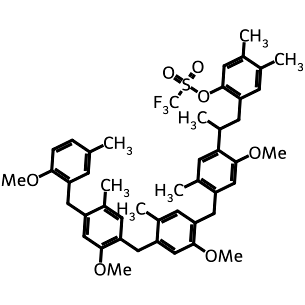 COc1ccc(C)cc1Cc1cc(OC)c(Cc2cc(OC)c(Cc3cc(OC)c(C(C)Cc4cc(C)c(C)cc4OS(=O)(=O)C(F)(F)F)cc3C)cc2C)cc1C